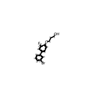 OCCCOc1ccc(-c2cccc(Br)c2)cc1F